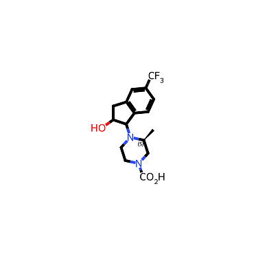 C[C@H]1CN(C(=O)O)CCN1C1c2ccc(C(F)(F)F)cc2CC1O